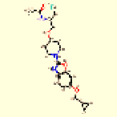 CC(=O)NC(CF)COC1CCN(c2nc3ccc(OCC4CC4)cc3o2)CC1